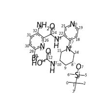 CC(C)(C)[Si](C)(C)O[C@@H]1C[C@H](NC(=O)O)CN(c2ccncc2NC(=O)c2nc(Br)ccc2N)C1